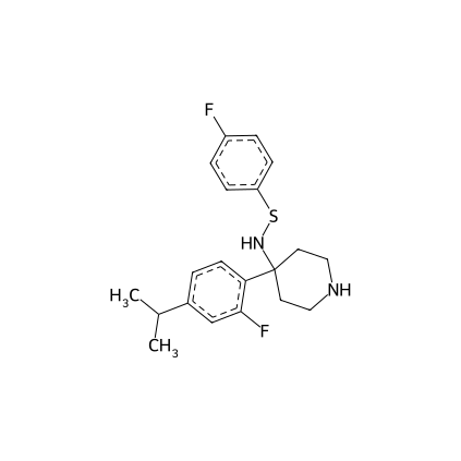 CC(C)c1ccc(C2(NSc3ccc(F)cc3)CCNCC2)c(F)c1